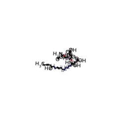 CCC#CC[C@H](O)/C=C/C#CC\C=C/C=C/C=C/[C@@H](NC[C@H](NC(=O)CC[C@H](N)OC=O)C(=O)NCC(=O)O)[C@@H](O)CCC(=O)O